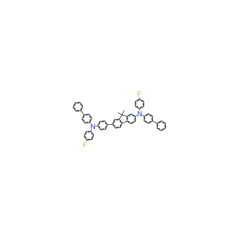 CC1(C)c2cc(-c3ccc(N(c4ccc(F)cc4)c4ccc(-c5ccccc5)cc4)cc3)ccc2-c2ccc(N(c3ccc(F)cc3)c3ccc(-c4ccccc4)cc3)cc21